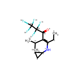 CCC(NC1CC1)=C(C(=O)C(F)(F)C(F)(F)F)C(C)C